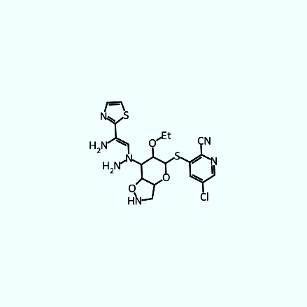 CCOC1C(Sc2cc(Cl)cnc2C#N)OC2CNOC2C1N(N)/C=C(\N)c1nccs1